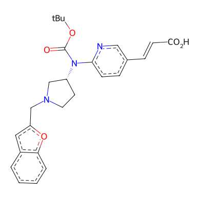 CC(C)(C)OC(=O)N(c1ccc(/C=C/C(=O)O)cn1)[C@@H]1CCN(Cc2cc3ccccc3o2)C1